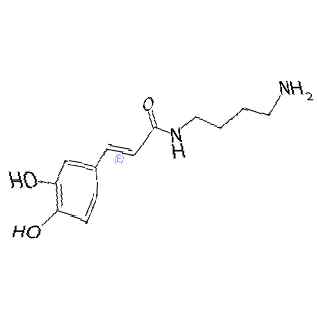 NCCCCNC(=O)/C=C/c1ccc(O)c(O)c1